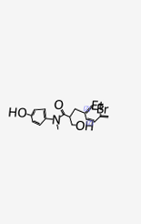 C=C(Br)/C=C\C(=C/CC)CC(CO)C(=O)N(C)c1ccc(O)cc1